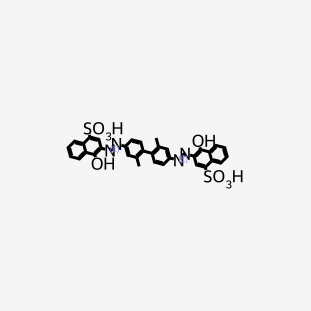 Cc1cc(/N=N/c2cc(S(=O)(=O)O)c3ccccc3c2O)ccc1-c1ccc(/N=N/c2cc(S(=O)(=O)O)c3ccccc3c2O)cc1C